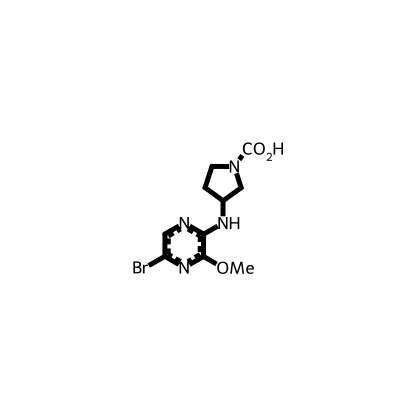 COc1nc(Br)cnc1NC1CCN(C(=O)O)C1